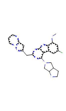 CNc1cc(F)cc2c1[nH]c1nc(Cc3cc4ncccn4n3)nc(N3CC4CCNC4C3)c12